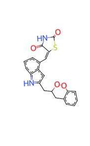 O=C1NC(=O)C(=Cc2cccc3[nH]c(CC4Cc5ccccc5OO4)cc23)S1